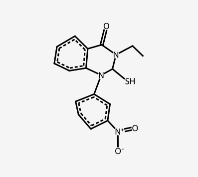 CCN1C(=O)c2ccccc2N(c2cccc([N+](=O)[O-])c2)C1S